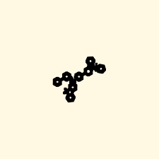 CC1(C)c2ccccc2-c2ccc(N(c3ccc(C4=Cc5c(n(-c6ccccc6)c6ccccc56)CC4)cc3)c3cccc(-c4ccccc4)c3)cc21